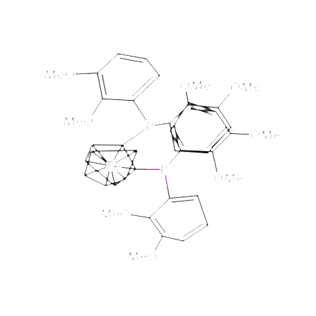 COc1cccc(P(c2cccc(OC)c2OC)[C]23[CH]4[CH]5[CH]6[C]2(P(c2cccc(OC)c2OC)c2cccc(OC)c2OC)[Fe]54632789[CH]3[CH]2[CH]7[CH]8[CH]39)c1OC